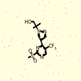 CC(C)(CO)n1cc(-c2nc(S(C)(=O)=O)ncc2C(F)(F)F)cn1